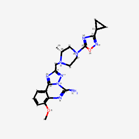 COc1cccc2c1nc(N)n1nc(CN3CCN(c4nc(C5CC5)no4)C[C@H]3C)nc21